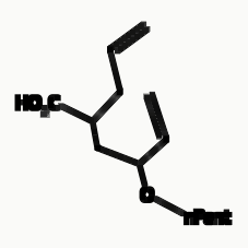 C=CCC(CC(C=C)OCCCCC)C(=O)O